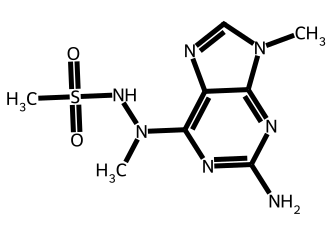 CN(NS(C)(=O)=O)c1nc(N)nc2c1ncn2C